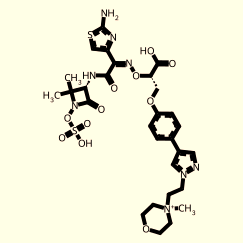 CC1(C)[C@H](NC(=O)/C(=N\O[C@@H](COc2ccc(-c3cnn(CC[N+]4(C)CCOCC4)c3)cc2)C(=O)O)c2csc(N)n2)C(=O)N1OS(=O)(=O)O